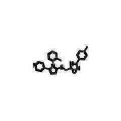 Cc1ccc(-c2noc(CSc3ccc(-c4ccncc4)n3-c3ccccc3C)n2)cc1